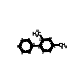 Cc1ccc(-c2c[c]ccc2)c(C)c1